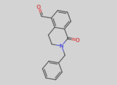 O=Cc1cccc2c1CCN(Cc1ccccc1)C2=O